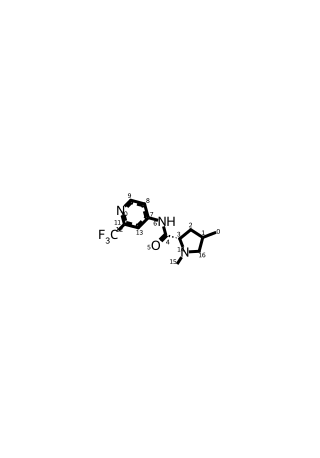 CC1C[C@@H](C(=O)Nc2ccnc(C(F)(F)F)c2)N(C)C1